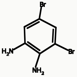 Nc1cc(Br)cc(Br)c1N